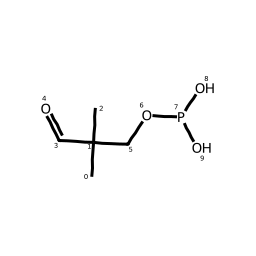 CC(C)(C=O)COP(O)O